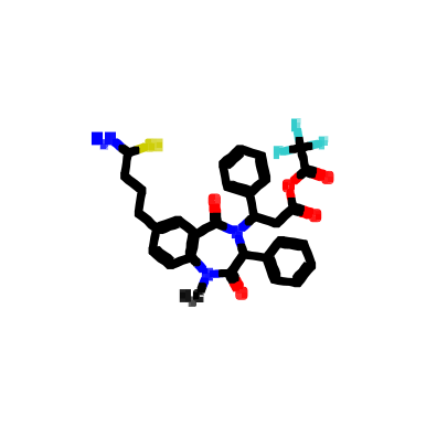 CN1C(=O)C(c2ccccc2)N(C(CC(=O)OC(=O)C(F)(F)F)c2ccccc2)C(=O)c2cc(CCCC(N)S)ccc21